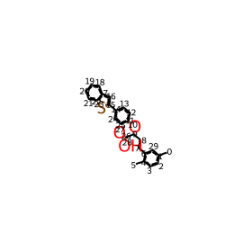 Cc1ccc(C)c(CCC(Oc2ccc(-c3cc4ccccc4s3)cc2)C(=O)O)c1